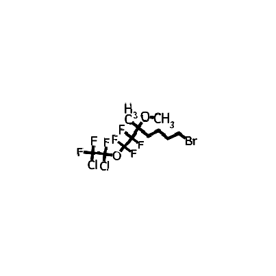 COC(C)(CCCCBr)C(F)(F)C(F)(F)OC(F)(Cl)C(F)(F)Cl